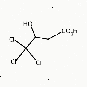 O=C(O)CC(O)C(Cl)(Cl)Cl